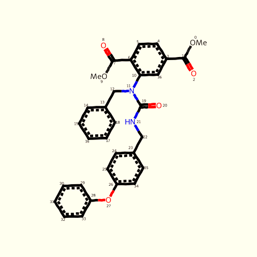 COC(=O)c1ccc(C(=O)OC)c(N(Cc2ccccc2)C(=O)NCc2ccc(Oc3ccccc3)cc2)c1